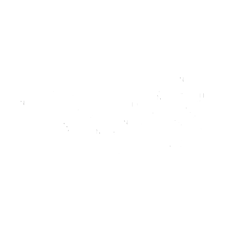 CC1(c2nc(NC(=O)c3ccc(C#N)cn3)ccc2F)CS(=O)(=O)C(C)(C)C(=N)N1